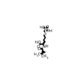 CC1(C)CC1C(=O)N/C(=C/CCCSCP(=O)(O)O)C(=O)O